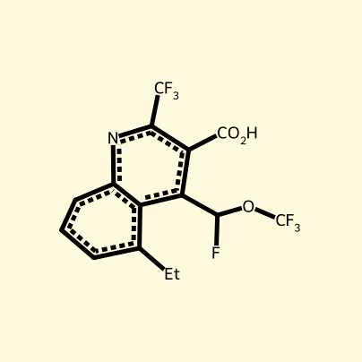 CCc1cccc2nc(C(F)(F)F)c(C(=O)O)c(C(F)OC(F)(F)F)c12